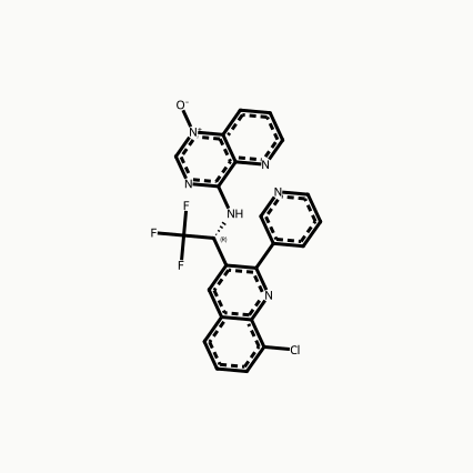 [O-][n+]1cnc(N[C@H](c2cc3cccc(Cl)c3nc2-c2cccnc2)C(F)(F)F)c2ncccc21